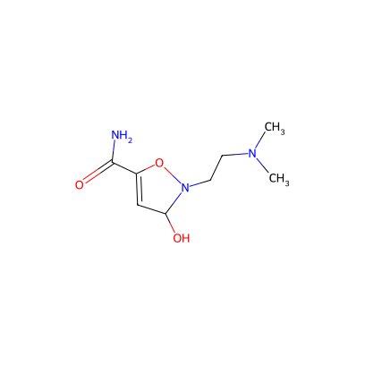 CN(C)CCN1OC(C(N)=O)=CC1O